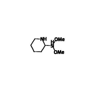 CO[SiH](OC)C1CCCCN1